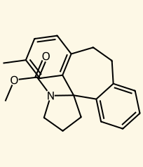 COC(=O)N1CCCC12c1ccccc1CCc1ccc(C)cc12